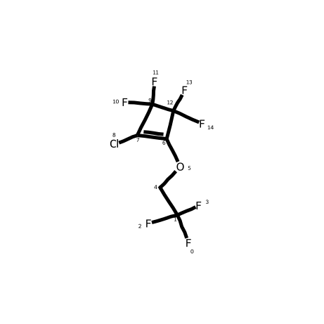 FC(F)(F)COC1=C(Cl)C(F)(F)C1(F)F